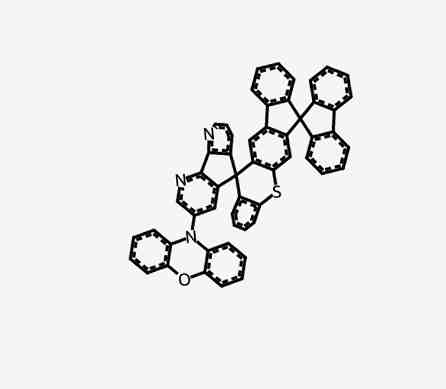 c1ccc2c(c1)Oc1ccccc1N2c1cnc2c(c1)C1(c3ccccc3Sc3cc4c(cc31)-c1ccccc1C41c3ccccc3-c3ccccc31)c1cccnc1-2